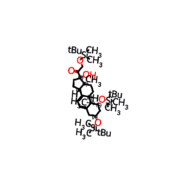 CC(C)(C)[Si](C)(C)OCC(=O)[C@@]1(O)CC[C@H]2C3=CC=C4C[C@@H](O[Si](C)(C)C(C)(C)C)C[C@H](O[Si](C)(C)C(C)(C)C)[C@]4(C)[C@H]3CC[C@@]21C